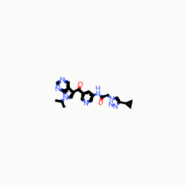 CC(C)n1cc(C(=O)c2cncc(NC(=O)Cn3cc(C4CC4)nn3)c2)c2cncnc21